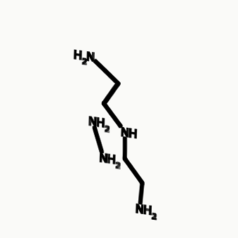 NCCNCCN.NN